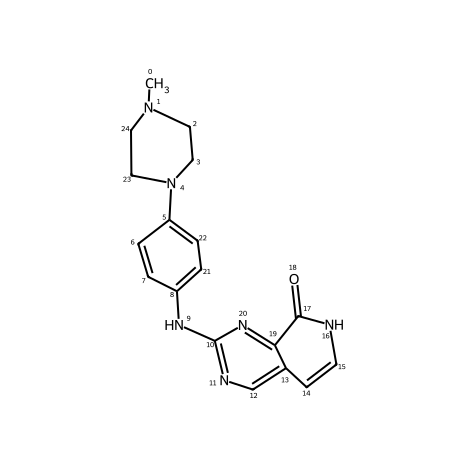 CN1CCN(c2ccc(Nc3ncc4cc[nH]c(=O)c4n3)cc2)CC1